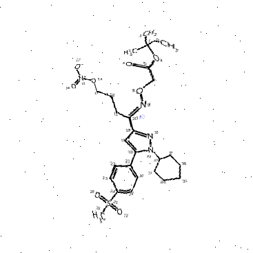 CC(C)(C)OC(=O)CO/N=C(\CCCO[N+](=O)[O-])c1cc(-c2ccc(S(C)(=O)=O)cc2)n(C2CCCCC2)n1